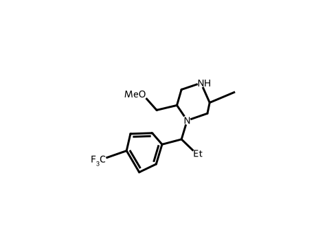 CCC(c1ccc(C(F)(F)F)cc1)N1CC(C)NCC1COC